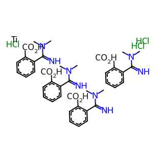 CN(C)C(=N)c1ccccc1C(=O)O.CN(C)C(=N)c1ccccc1C(=O)O.CN(C)C(=N)c1ccccc1C(=O)O.CN(C)C(=N)c1ccccc1C(=O)O.Cl.Cl.Cl.[Ti]